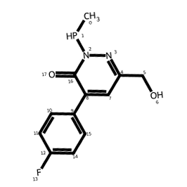 CPn1nc(CO)cc(-c2ccc(F)cc2)c1=O